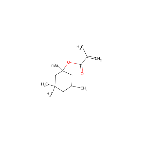 C=C(C)C(=O)OC1(CCCC)CC(C)CC(C)(C)C1